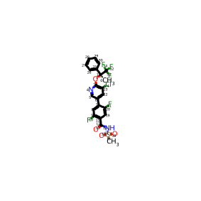 C[C@](Oc1ncc(-c2cc(F)c(C(=O)NS(C)(=O)=O)cc2F)cc1Cl)(c1ccccc1)C(F)(F)F